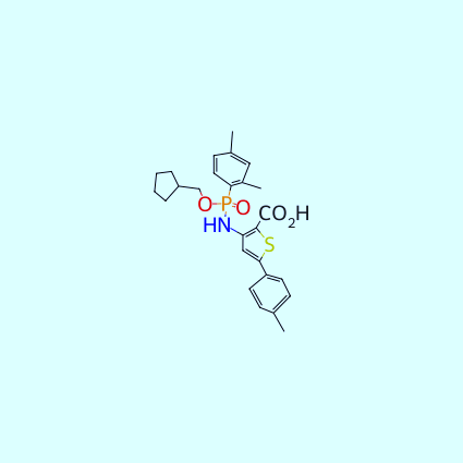 Cc1ccc(-c2cc(NP(=O)(OCC3CCCC3)c3ccc(C)cc3C)c(C(=O)O)s2)cc1